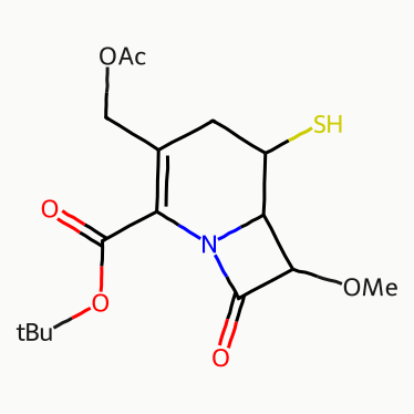 COC1C(=O)N2C(C(=O)OC(C)(C)C)=C(COC(C)=O)CC(S)C12